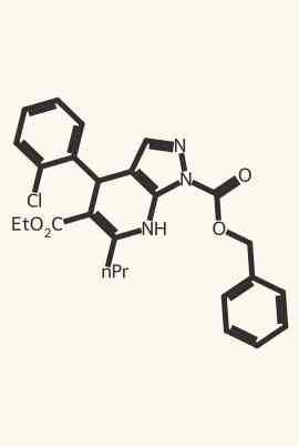 CCCC1=C(C(=O)OCC)C(c2ccccc2Cl)c2cnn(C(=O)OCc3ccccc3)c2N1